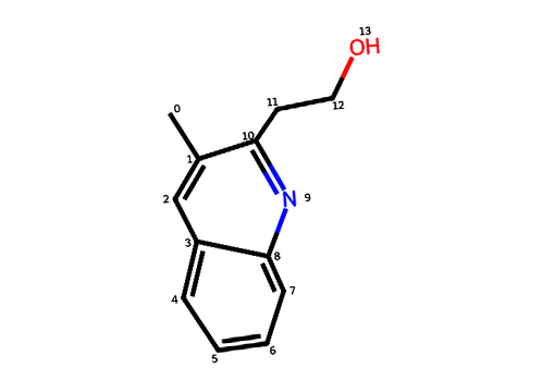 Cc1cc2ccccc2nc1CCO